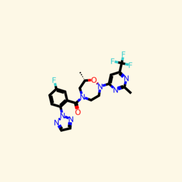 Cc1nc(N2CCN(C(=O)c3cc(F)ccc3-n3nccn3)C[C@H](C)O2)cc(C(F)(F)F)n1